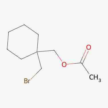 CC(=O)OCC1(CBr)CCCCC1